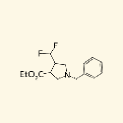 CCOC(=O)C1CN(Cc2ccccc2)CC1C(F)F